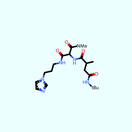 CNC(=O)C(NC(=O)C(C)CC(=O)NC(C)(C)C)C(=O)NCCCn1ccnc1